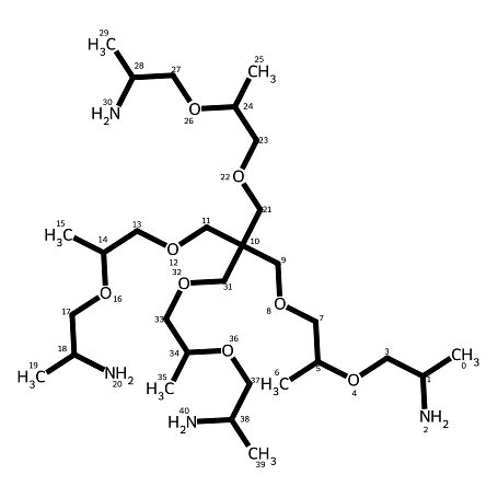 CC(N)COC(C)COCC(COCC(C)OCC(C)N)(COCC(C)OCC(C)N)COCC(C)OCC(C)N